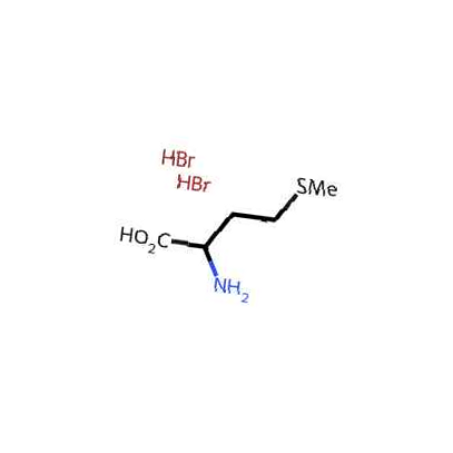 Br.Br.CSCCC(N)C(=O)O